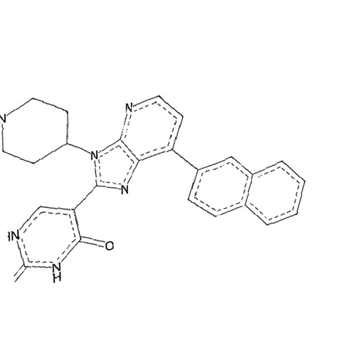 O=c1[nH]cc(-c2nc3c(-c4ccc5ccccc5c4)ccnc3n2C2CCNCC2)c(=O)[nH]1